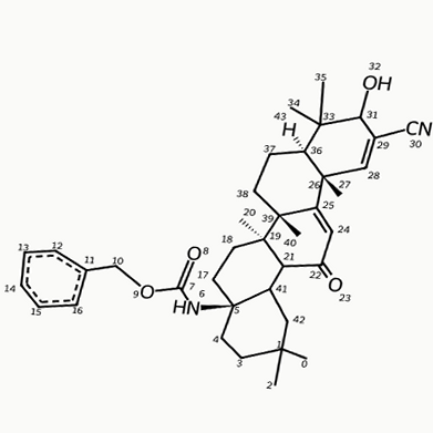 CC1(C)CC[C@]2(NC(=O)OCc3ccccc3)CC[C@]3(C)C(C(=O)C=C4[C@@]5(C)C=C(C#N)C(O)C(C)(C)[C@@H]5CC[C@]43C)C2C1